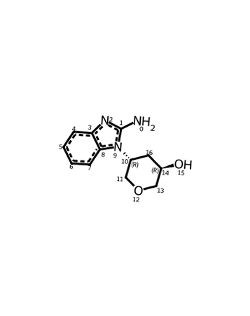 Nc1nc2ccccc2n1[C@H]1COC[C@H](O)C1